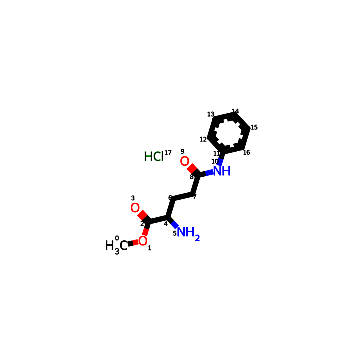 COC(=O)C(N)CCC(=O)Nc1ccccc1.Cl